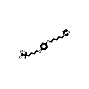 CC(C)(CCCCOc1ccc(OCCCCCn2ccnc2)cc1)C(N)=O